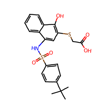 CC(C)(C)c1ccc(S(=O)(=O)Nc2cc(SCC(=O)O)c(O)c3ccccc23)cc1